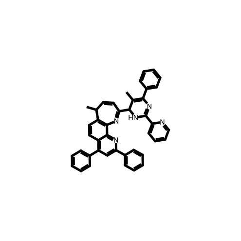 CC1=C(c2ccccc2)N=C(c2ccccn2)NC1C1=Nc2c(ccc3c(-c4ccccc4)cc(-c4ccccc4)nc23)C(C)C=C1